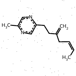 C=C(C/C=C\C)CCc1cnc(C)cn1